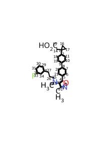 Cc1noc(-c2ccc(-c3ccc(C4(CC(=O)O)CC4)cc3)cc2)c1N(C)CCCc1cccc(F)c1